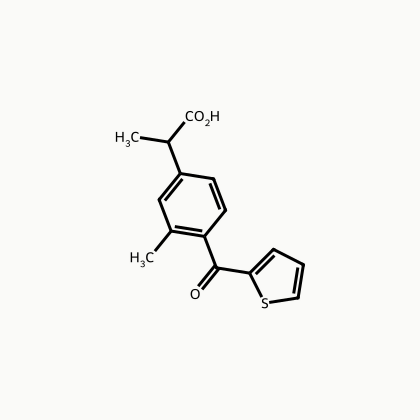 Cc1cc(C(C)C(=O)O)ccc1C(=O)c1cccs1